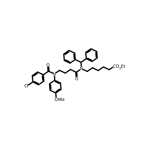 CCOC(=O)CCCCCN(C(=O)CCCN(C(=O)c1ccc(Cl)cc1)c1ccc(OC)cc1)C(c1ccccc1)c1ccccc1